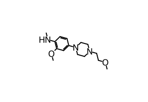 CNc1ccc(N2CCN(CCOC)CC2)cc1OC